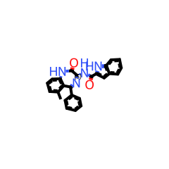 Cc1cccc2c1C(c1ccccc1)=N[C@H](NC(=O)c1cc3ccccc3[nH]1)C(=O)N2